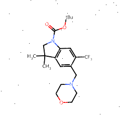 CC(C)(C)OC(=O)N1CC(C)(C)c2cc(CN3CCOCC3)c(C(F)(F)F)cc21